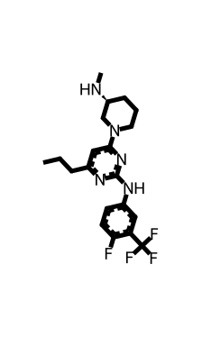 CCCc1cc(N2CCC[C@@H](NC)C2)nc(Nc2ccc(F)c(C(F)(F)F)c2)n1